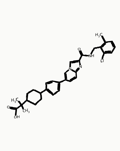 Cc1cccc(Cl)c1CNC(=O)c1cn2cc(-c3ccc(C4CCC(C(C)(C)C(=O)O)CC4)cc3)ccc2n1